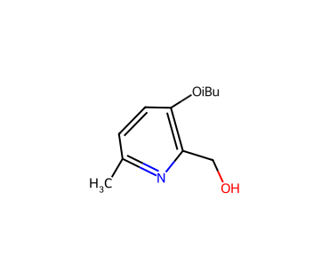 Cc1ccc(OCC(C)C)c(CO)n1